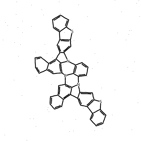 c1cc2c3c(c1)-n1c4cc5sc6ccccc6c5cc4c4c5ccccc5cc(c41)B3c1cc3ccccc3c3c4cc5c(cc4n-2c13)sc1ccccc15